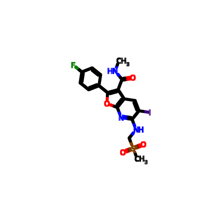 CNC(=O)c1c(-c2ccc(F)cc2)oc2nc(NCS(C)(=O)=O)c(I)cc12